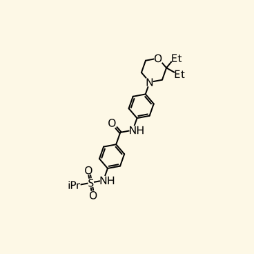 CCC1(CC)CN(c2ccc(NC(=O)c3ccc(NS(=O)(=O)C(C)C)cc3)cc2)CCO1